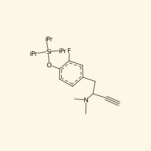 C#CC(Cc1ccc(O[Si](C(C)C)(C(C)C)C(C)C)c(F)c1)N(C)C